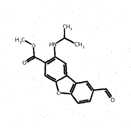 COC(=O)c1cc2oc3ccc(C=O)cc3c2cc1NC(C)C